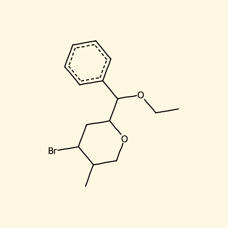 CCOC(c1ccccc1)C1CC(Br)C(C)CO1